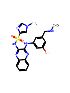 Cn1cnc(S(=O)(=O)Nc2nc3ccccc3nc2Nc2cc(O)cc(CNC=O)c2)c1